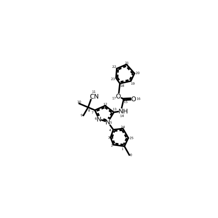 Cc1ccc(-n2nc(C(C)(C)C#N)cc2NC(=O)Oc2ccccc2)cc1